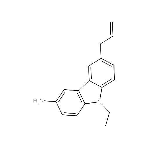 C=CCc1ccc2c(c1)c1cc(N)ccc1n2CC